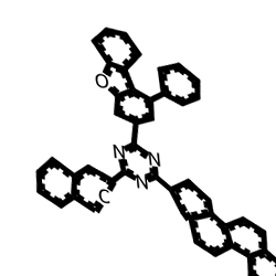 c1ccc(-c2cc(-c3nc(-c4ccc5ccccc5c4)nc(-c4ccc5c(ccc6c7ccccc7ccc56)c4)n3)cc3oc4ccccc4c23)cc1